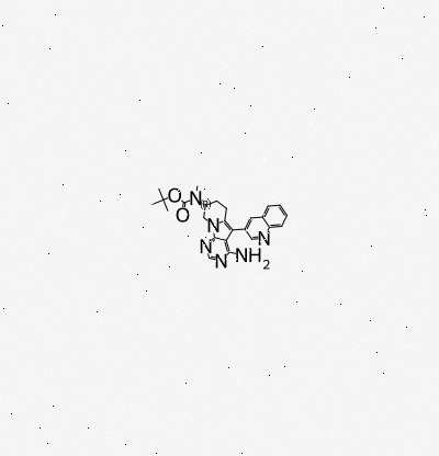 CN(C(=O)OC(C)(C)C)[C@@H]1CCc2c(-c3cnc4ccccc4c3)c3c(N)ncnc3n2C1